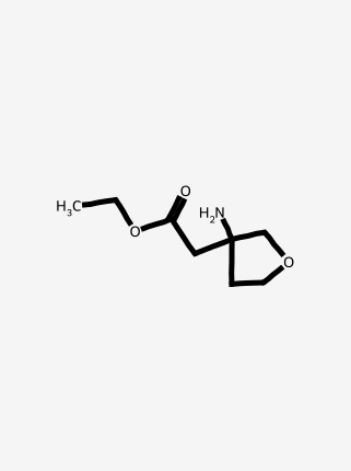 CCOC(=O)CC1(N)CCOC1